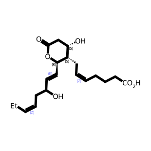 CC/C=C\CC(O)/C=C/[C@H]1OC(=O)C[C@H](O)[C@@H]1C/C=C\CCCC(=O)O